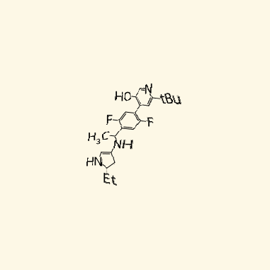 CC[C@H]1CC(NC(C)c2cc(F)c(-c3cc(C(C)(C)C)ncc3O)cc2F)=CN1